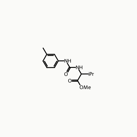 COC(=O)C(NC(=O)Nc1cccc(C)c1)C(C)C